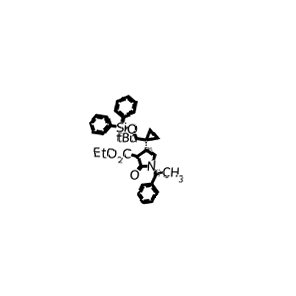 CCOC(=O)C1C(=O)N([C@@H](C)c2ccccc2)C[C@H]1C1(CO[Si](c2ccccc2)(c2ccccc2)C(C)(C)C)CC1